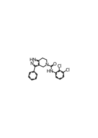 O=C(Nc1cccc(Cl)c1Cl)N1CCc2[nH]nc(-c3ccccc3)c2C1